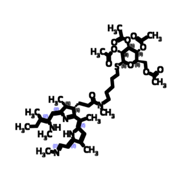 CC/C(C)=C(/C=C1N=C(/C(C)=c2/cc(C)/c(=C/C=N/C)[nH]2)[C@@H](CCC(=O)N(C)CCCCCS[C@@H]2O[C@H](COC(C)=O)[C@@H](OC(C)=O)[C@H](OC(C)=O)[C@H]2OC(C)=O)[C@@H]\1C)NC